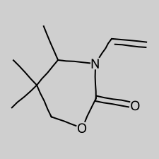 C=CN1C(=O)OCC(C)(C)C1C